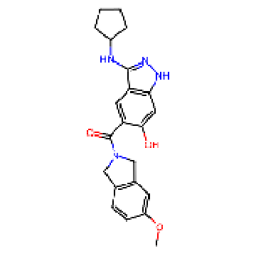 COc1ccc2c(c1)CN(C(=O)c1cc3c(NC4CCCC4)n[nH]c3cc1O)C2